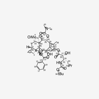 CO[C@H]1C[C@H]2OC[C@]23B(C(C)=O)[C@@]32[C@H](OC(=O)c3ccccc3)[C@]3(O)C[C@H](OC(=O)[C@H](O)[C@H](CC(C)C)NC(=O)OC(C)(C)C)C(C)=C([C@@H](OC(=O)N(C)C)C(=O)[C@]12C)C3(C)C